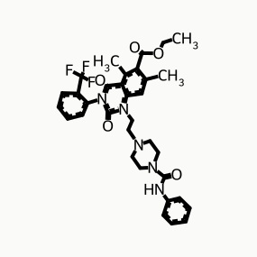 CCOC(=O)c1c(C)cc2c(c1C)c(=O)n(-c1ccccc1C(F)(F)F)c(=O)n2CCN1CCN(C(=O)Nc2ccccc2)CC1